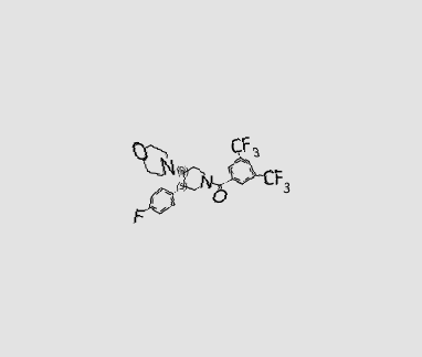 O=C(c1cc(C(F)(F)F)cc(C(F)(F)F)c1)N1CC[C@@H](N2CCOCC2)[C@@H](c2ccc(F)cc2)C1